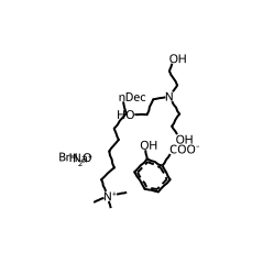 CCCCCCCCCCCCCCCC[N+](C)(C)C.O.O=C([O-])c1ccccc1O.OCCN(CCO)CCO.[Br-].[Na+]